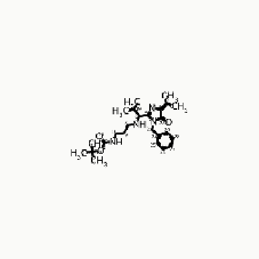 CC(C)=C1N=C(C(NCCCNC(=O)OC(C)(C)C)C(C)C)N(Cc2ccccc2)C1=O